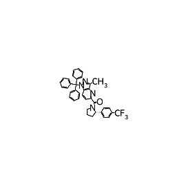 Cc1nn(C(c2ccccc2)(c2ccccc2)c2ccccc2)c2ccc(C(=O)N3CCC[C@H]3c3ccc(C(F)(F)F)cc3)nc12